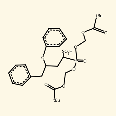 CC(C)(C)C(=O)OCOP(=O)(OCOC(=O)C(C)(C)C)C(CC(Cc1ccccc1)Oc1ccccc1)S(=O)(=O)O